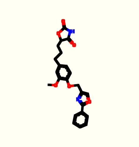 COc1cc(CCCC2OC(=O)NC2=O)ccc1OCc1coc(-c2ccccc2)n1